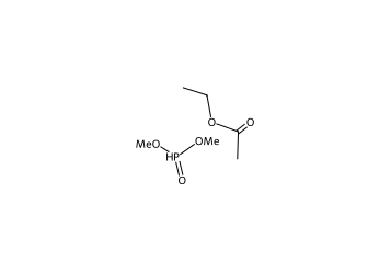 CCOC(C)=O.CO[PH](=O)OC